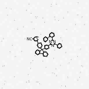 N#Cc1cccc(-c2ccc(C3(c4ccc(-c5nc(-c6ccccc6)nc(-c6ccccc6-c6ccccc6)n5)cc4)c4ccccc4-c4ccccc43)cc2)c1